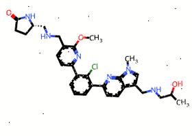 COc1nc(-c2cccc(-c3ccc4c(CNCC(C)O)cn(C)c4n3)c2Cl)ccc1CNC[C@@H]1CCC(=O)N1